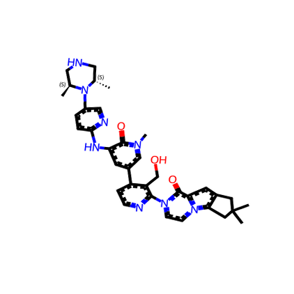 C[C@H]1CNC[C@H](C)N1c1ccc(Nc2cc(-c3ccnc(-n4ccn5c6c(cc5c4=O)CC(C)(C)C6)c3CO)cn(C)c2=O)nc1